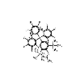 [CH3][Al]([CH3])[O]c1c([Si](C)(C)C)cc([B-](c2c(F)c(F)c(F)c(F)c2F)(c2c(F)c(F)c(F)c(F)c2F)c2c(F)c(F)c(F)c(F)c2F)cc1[Si](C)(C)C